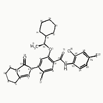 C[C@H](Oc1cc(-n2nc3n(c2=O)CCCC3)c(F)cc1C(=O)Nc1ccc(F)cc1Cl)C1CCCCC1